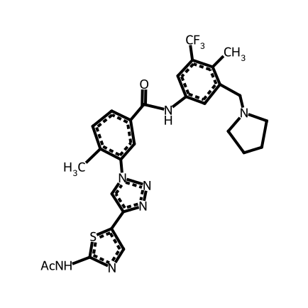 CC(=O)Nc1ncc(-c2cn(-c3cc(C(=O)Nc4cc(CN5CCCC5)c(C)c(C(F)(F)F)c4)ccc3C)nn2)s1